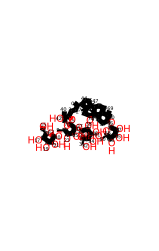 CC(CCC(O[C@@H]1O[C@H](CO[C@@H]2O[C@H](CO)[C@@H](O)[C@H](O)[C@H]2O)[C@@H](O)[C@H](O)[C@H]1O[C@@H]1O[C@H](CO)[C@@H](O)[C@H](O)[C@H]1O)C(C)(C)O)[C@H]1CC[C@@]2(C)C3CC=C4[C@@H](CC[C@H](O[C@@H]5O[C@H](CO)[C@@H](O)[C@H](O)[C@H]5O)C4(C)C)[C@]3(C)C(=O)C[C@]12C